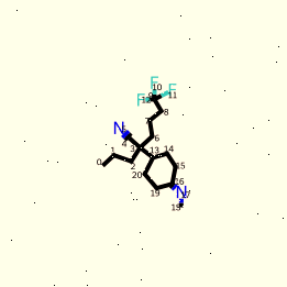 CCCC(C#N)(CCCC(F)(F)F)C1CCC(=NC)CC1